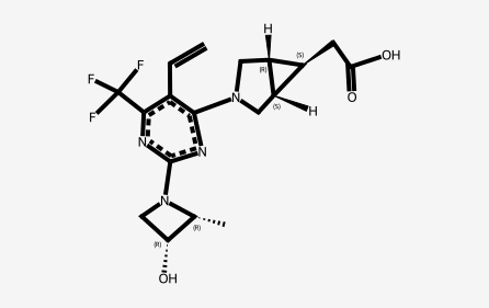 C=Cc1c(N2C[C@@H]3[C@@H](CC(=O)O)[C@@H]3C2)nc(N2C[C@@H](O)[C@H]2C)nc1C(F)(F)F